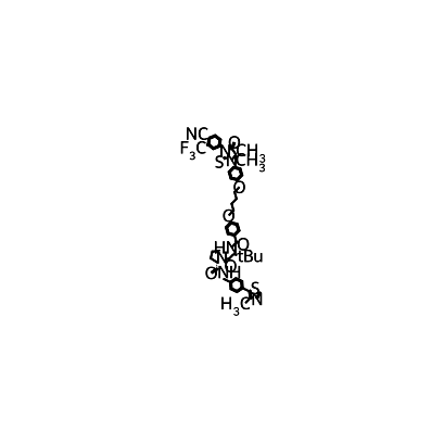 Cc1ncsc1-c1ccc(CNC(=O)[C@@H]2CCCN2C(=O)C(NC(=O)c2ccc(OCCCCOc3ccc(N4C(=S)N(c5ccc(C#N)c(C(F)(F)F)c5)C(=O)C4(C)C)cc3)cc2)C(C)(C)C)cc1